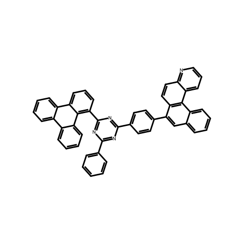 c1ccc(-c2nc(-c3ccc(-c4cc5ccccc5c5c4ccc4ncccc45)cc3)nc(-c3cccc4c5ccccc5c5ccccc5c34)n2)cc1